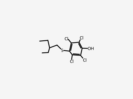 CCC(CC)CSc1c(Cl)c(Cl)c(O)c(Cl)c1Cl